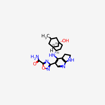 CC1C[C@H]2C[C@](O)(CC[C@@H]2Nc2c(-c3noc(C(N)=O)n3)cnc3c2CCN3)C1